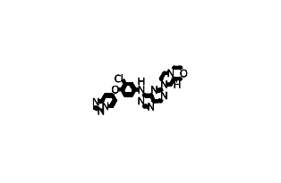 Clc1cc(Nc2ncnc3cnc(N4CCN5CCOC[C@@H]5C4)nc23)ccc1Oc1ccn2ncnc2c1